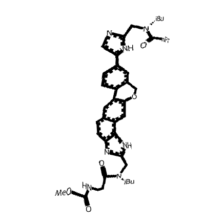 CCCC(=O)N(Cc1ncc(-c2ccc3c(c2)COc2cc4c(ccc5nc(CN(C(=O)CNC(=O)OC)[C@@H](C)CC)[nH]c54)cc2-3)[nH]1)[C@@H](C)CC